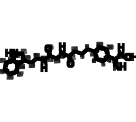 N=C(NO)c1ccc(CCCC(=O)NCC(=O)NCCc2c[nH]c3ccccc23)cc1